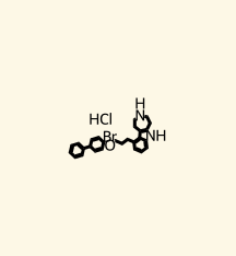 BrC1(OCCCc2cccc3[nH]c4c(c23)CCNCC4)C=CC(c2ccccc2)C=C1.Cl